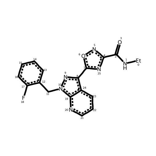 CCNC(=O)c1noc(-c2nn(Cc3ccccc3F)c3ncccc23)n1